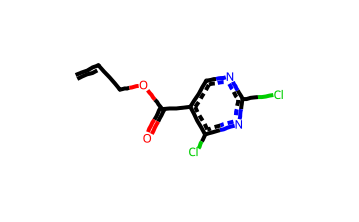 C=CCOC(=O)c1cnc(Cl)nc1Cl